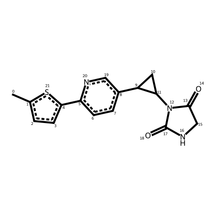 Cc1ccc(-c2ccc(C3CC3N3C(=O)CNC3=O)cn2)s1